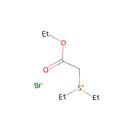 CCOC(=O)C[S+](CC)CC.[Br-]